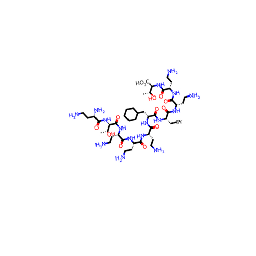 CC(C)C[C@H](NC(=O)[C@@H](CC1CCCCC1)NC(=O)[C@H](CCN)NC(=O)[C@H](CCN)NC(=O)[C@H](CCN)NC(=O)[C@@H](NC(=O)[C@@H](N)CCN)[C@@H](C)O)C(=O)N[C@@H](CCN)C(=O)N[C@@H](CCN)C(=O)N[C@H](C(=O)O)[C@@H](C)O